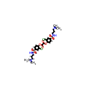 CN(C)CCCNS(=O)(=O)c1ccc(OC(=O)C(=O)Oc2ccc(S(=O)(=O)NCCCN(C)C)cc2Cl)c(Cl)c1